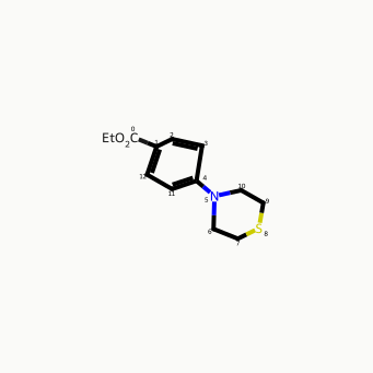 CCOC(=O)c1ccc(N2CCSCC2)cc1